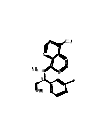 CNC[C@@H](Nc1ncnc2c(C(=O)O)ccnc12)c1cccc(F)c1.N